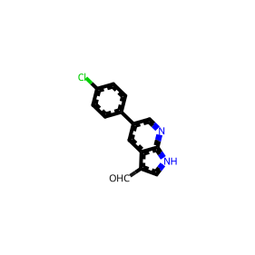 O=Cc1c[nH]c2ncc(-c3ccc(Cl)cc3)cc12